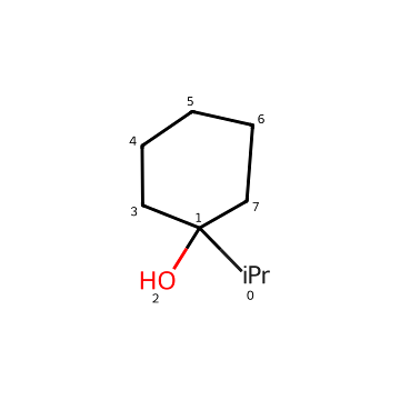 CC(C)C1(O)CCCCC1